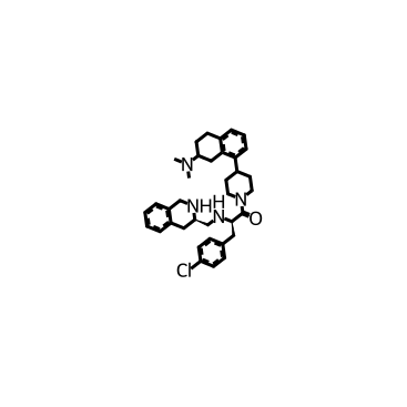 CN(C)C1CCc2cccc(C3CCN(C(=O)[C@@H](Cc4ccc(Cl)cc4)NC[C@H]4Cc5ccccc5CN4)CC3)c2C1